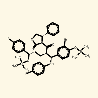 C[Si](C)(C)Oc1ccc([C@@H](Nc2ccc(F)cc2)[C@@H](CC[C@H](O[Si](C)(C)C)c2ccc(F)cc2)C(=O)N2C(=O)OC[C@@H]2c2ccccc2)cc1Br